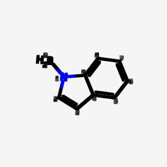 Bn1ccc2ccccc21